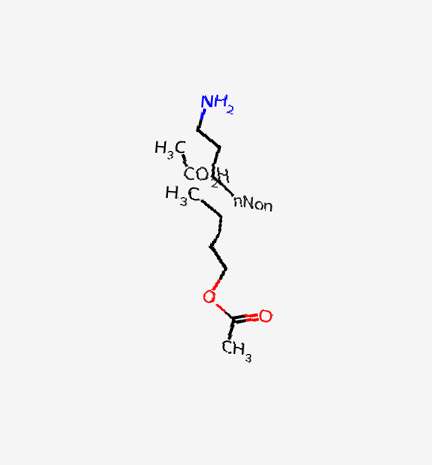 CC(=O)O.CCCCCCCCCCCCN.CCCCOC(C)=O